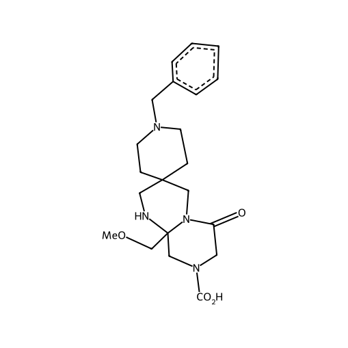 COCC12CN(C(=O)O)CC(=O)N1CC1(CCN(Cc3ccccc3)CC1)CN2